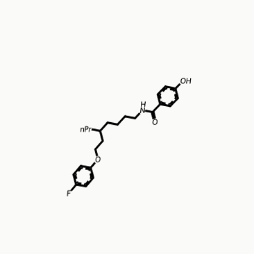 CCCC(CCCCNC(=O)c1ccc(O)cc1)CCOc1ccc(F)cc1